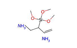 C=CC(CC)[Si](OC)(OC)OC.N.N